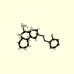 Cc1ccccc1CCc1cnc2c(N)nc3ccccc3c2c1